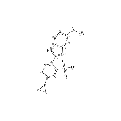 CCS(=O)(=O)c1cc(C2CC2)cnc1-c1nc2cc(OC(F)(F)F)ccc2[nH]1